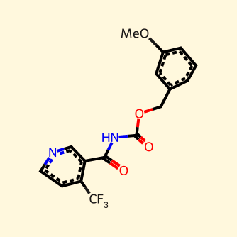 COc1cccc(COC(=O)NC(=O)c2cnccc2C(F)(F)F)c1